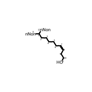 CCCCCCCCCC(CCCCC/C=C\CCO)CCCCCCCCC